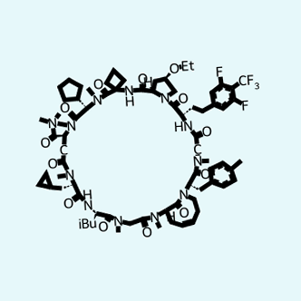 CCO[C@@H]1C[C@H]2C(=O)NC3(CCC3)C(=O)N(C)[C@@H](C3CCCC3)C(=O)N(C)[C@H](C(=O)N(C)C)CC(=O)N(C)[C@@H](CC3CC3)C(=O)N[C@@H]([C@@H](C)CC)C(=O)N(C)CC(=O)N(C)[C@H]3C/C=C\CCN(C3=O)[C@@H](Cc3ccc(C)cc3)C(=O)N(C)CC(=O)N[C@@H](CCc3cc(F)c(C(F)(F)F)c(F)c3)C(=O)N2C1